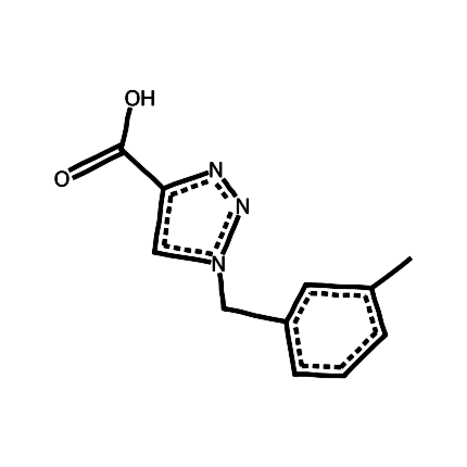 Cc1cccc(Cn2cc(C(=O)O)nn2)c1